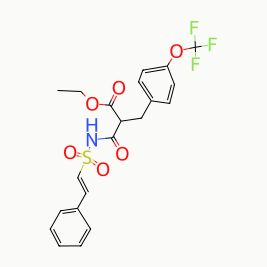 CCOC(=O)C(Cc1ccc(OC(F)(F)F)cc1)C(=O)NS(=O)(=O)C=Cc1ccccc1